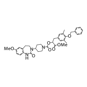 COC(=O)C(Cc1cc(C)c(OCc2ccccc2)c(C)c1)OC(=O)N1CCC(N2CCc3cc(OC)ccc3NC2=O)CC1